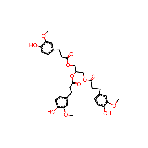 COc1cc(CCC(=O)OCC(COC(=O)CCc2ccc(O)c(OC)c2)OC(=O)CCc2ccc(O)c(OC)c2)ccc1O